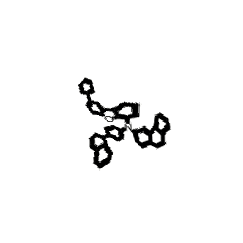 c1ccc(-c2ccc3oc4c(N(c5ccc(-c6cccc7ccccc67)cc5)c5ccc6ccc7ccccc7c6c5)cccc4c3c2)cc1